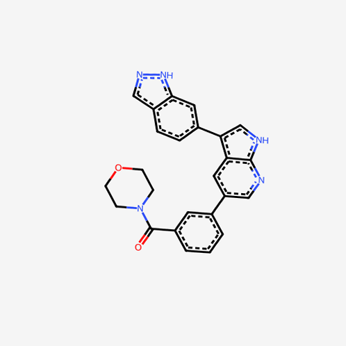 O=C(c1cccc(-c2cnc3[nH]cc(-c4ccc5cn[nH]c5c4)c3c2)c1)N1CCOCC1